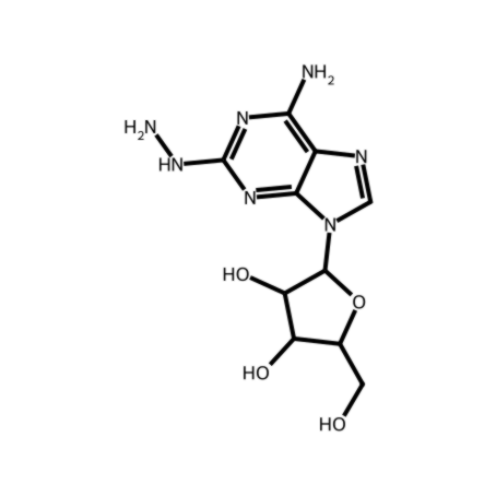 NNc1nc(N)c2ncn(C3OC(CO)C(O)C3O)c2n1